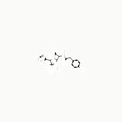 CC1(C)SC2C(NC(=O)Cc3ccc(Cl)cc3)C(=O)N2C1c1nnn[nH]1